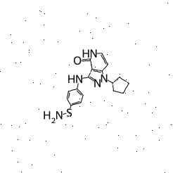 NSc1ccc(Nc2nn(C3CCCC3)c3cc[nH]c(=O)c23)cc1